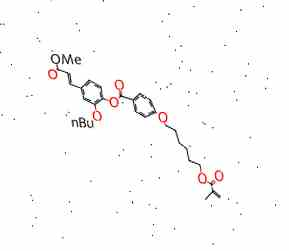 C=C(C)C(=O)OCCCCCCOc1ccc(C(=O)Oc2ccc(C=CC(=O)OC)cc2OCCCC)cc1